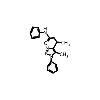 Cc1c(C(C)CC(=O)Nc2ccccc2)nnn1-c1ccccc1